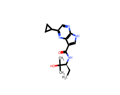 CC[C@H](NC(=O)c1c[nH]c2ncc(C3CC3)nc12)C(C)(C)O